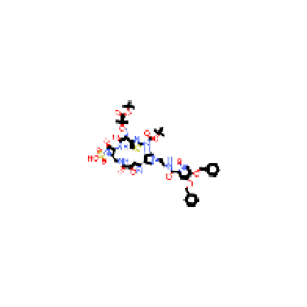 CC(C)(C)OC(=O)Nc1nc(/C(=N/OC(C)(C)C(=O)OC(C)(C)C)C(=O)N[C@@H]2C(=O)N(S(=O)(=O)O)[C@@H]2CNC(=O)c2cc([C@@H]3CCN(CCNC(=O)c4cc(OCc5ccccc5)c(OCc5ccccc5)c[n+]4[O-])C3)no2)cs1